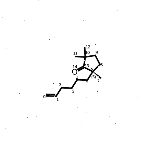 C=CCCCC[C@@]1(C)CCC(C)(C)C1=O